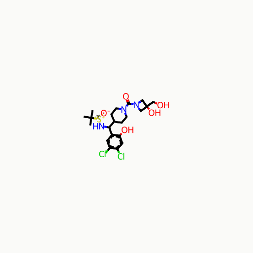 CC(C)(C)[S@+]([O-])NC(c1cc(Cl)c(Cl)cc1O)C1CCN(C(=O)N2CC(O)(CO)C2)CC1